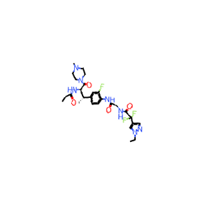 CCC(=O)N[C@@H](C(=O)N1CCN(C)CC1)[C@@H](C)c1ccc(NC(=O)CNC(=O)C(F)(F)c2cnn(CC)c2)c(F)c1